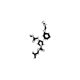 [C-]#[N+]COc1cccc([C@@H]2CN(C(=O)OCC(C)C)C[C@@H]2CC(=O)OC)c1